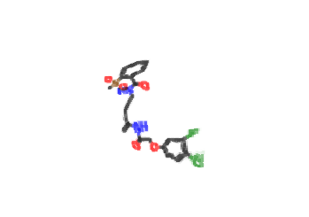 C=C(CCNC(=O)c1ccccc1S(C)(=O)=O)NC(=O)COc1ccc(Cl)c(F)c1